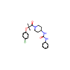 CC(C)(Oc1ccc(Cl)cc1)C(=O)N1CCC(NC(=O)Nc2ccccc2)CC1